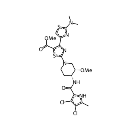 COC(=O)c1sc(N2CC[C@@H](NC(=O)c3[nH]c(C)c(Cl)c3Cl)[C@@H](OC)C2)nc1-c1csc(N(C)C)n1